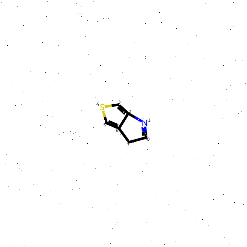 [C]1=Nc2cscc2C1